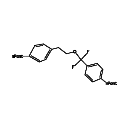 CCCCCc1ccc(CCOC(F)(F)c2ccc(CCCCC)cc2)cc1